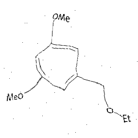 [CH2]COCc1cc(OC)cc(OC)c1